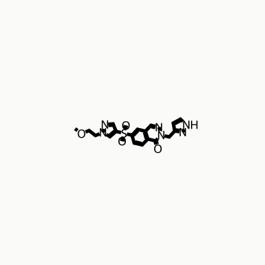 COCCn1cc(S(=O)(=O)c2ccc3c(=O)n(Cc4cc[nH]n4)ncc3c2)cn1